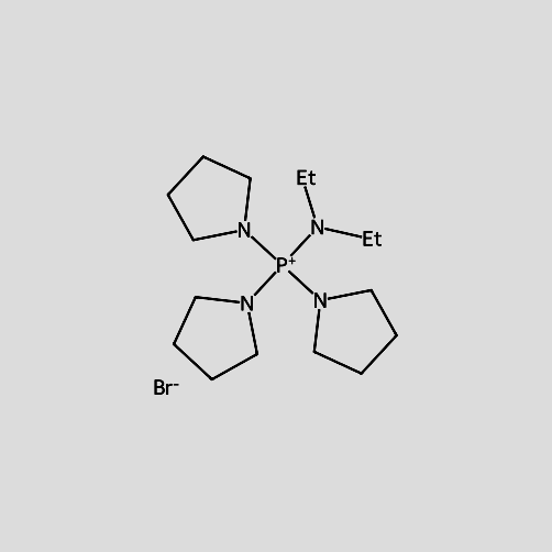 CCN(CC)[P+](N1CCCC1)(N1CCCC1)N1CCCC1.[Br-]